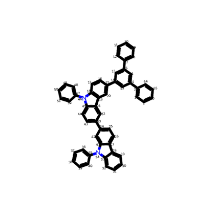 c1ccc(-c2cc(-c3ccccc3)cc(-c3ccc4c(c3)c3cc(-c5ccc6c7ccccc7n(-c7ccccc7)c6c5)ccc3n4-c3ccccc3)c2)cc1